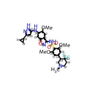 COc1cc2c(NS(=O)(=O)c3c(OC)cc(C4CN(C)CCC4(F)F)cc3OC)noc2cc1Nc1cc(C2CC2)n[nH]1